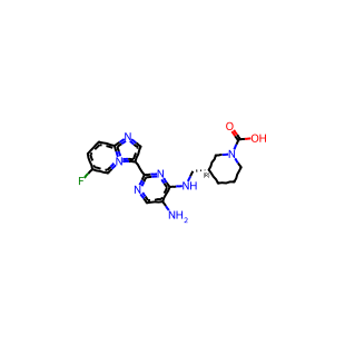 Nc1cnc(-c2cnc3ccc(F)cn23)nc1NC[C@H]1CCCN(C(=O)O)C1